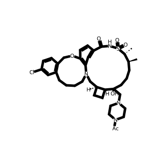 CC(=O)N1CCN(C[C@@]2(O)CCC[C@H](C)[C@@H](C)S(=O)(=O)NC(=O)c3ccc4c(c3)N(CCCCc3cc(Cl)ccc3CO4)C[C@@H]3CC[C@H]32)CC1